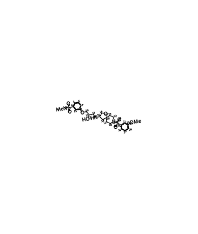 CNS(=O)(=O)c1cccc(OCC(O)CNC2COC3(CCN(S(=O)(=O)c4cccc(OC)c4)CC3)C2)c1